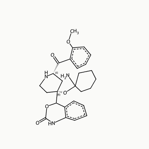 COc1ccccc1C(=O)[C@@H]1C[C@@](OC2(N)CCCCC2)(C2OC(=O)Nc3ccccc32)CCN1